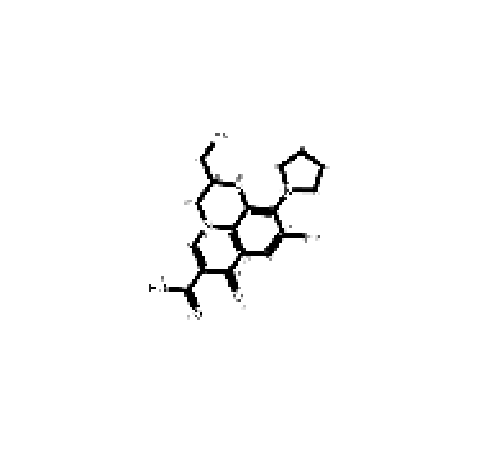 O=C(O)c1cn2c3c(c(N4CCCC4)c(F)cc3c1=O)OC(CF)C2